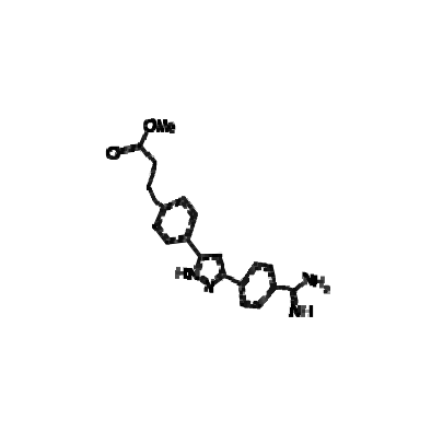 COC(=O)CCc1ccc(-c2cc(-c3ccc(C(=N)N)cc3)n[nH]2)cc1